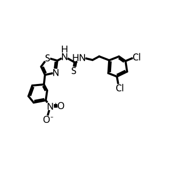 O=[N+]([O-])c1cccc(-c2csc(NC(=S)NCCc3cc(Cl)cc(Cl)c3)n2)c1